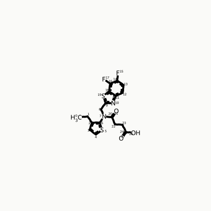 CCc1ccsc1N(Cc1nc2ccc(F)c(F)c2s1)C(=O)CCC(=O)O